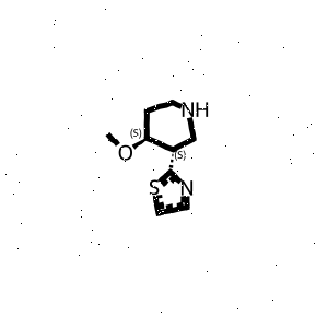 CO[C@H]1CCNC[C@@H]1c1nccs1